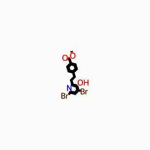 COC(=O)c1ccc(CCc2nc(Br)cc(Br)c2O)cc1